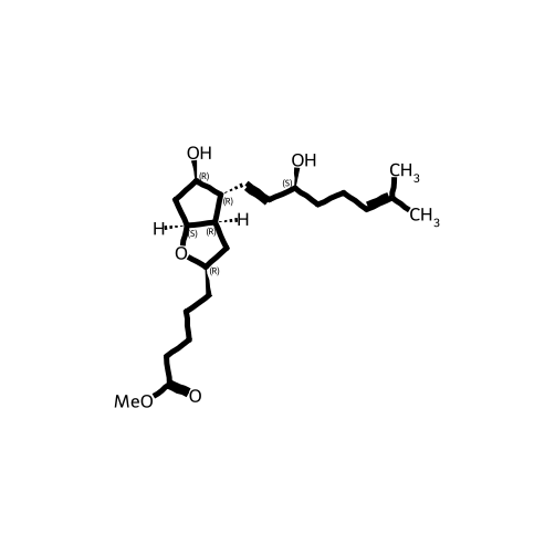 COC(=O)CCCC[C@@H]1C[C@@H]2[C@@H](C=C[C@@H](O)CCC=C(C)C)[C@H](O)C[C@@H]2O1